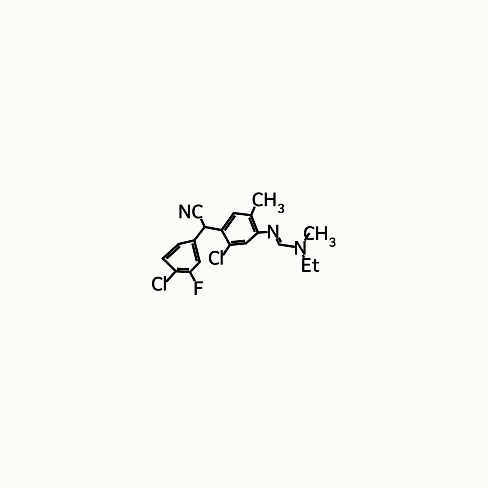 CCN(C)C=Nc1cc(Cl)c(C(C#N)c2ccc(Cl)c(F)c2)cc1C